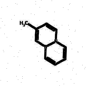 CC1=CB2C=CC=CN2C=C1